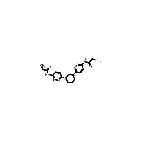 CCC(=O)Nc1ccc([C@H]2CCC[C@H](c3ccc(NC(=O)CC)nn3)C2)nn1